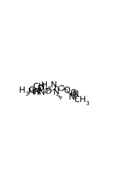 Cc1noc(COc2ccc3c(N)c(-c4ccc(NC(=O)NC(C)C)cc4)n(CC4CC4)c3c2)n1